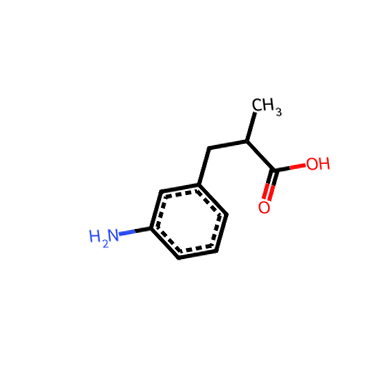 CC(Cc1cccc(N)c1)C(=O)O